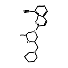 CC1CN(c2ccc3cccc(C#N)c3n2)CC(CN2CCCCC2)O1